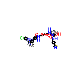 CC(=O)N1c2ccc(-c3ccc(C(=O)NCCOCCOCC(=O)N[C@H](C(=O)N4C[C@H](O)C[C@H]4C(=O)NCc4ccc(-c5scnc5C)cc4)C(C)(C)C)cc3)cc2[C@H](Nc2ccc(Cl)cc2)C[C@@H]1C